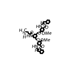 COc1cc2c(cc1OCc1cc(COc3cc4c(cc3OC)C(=O)N3c5ccccc5C[C@H]3CN4)cc(NC(=O)CCC(C)S)c1)NC[C@@H]1Cc3ccccc3N1C2=O